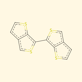 c1cc2csc(-c3scc4ccsc34)c2s1